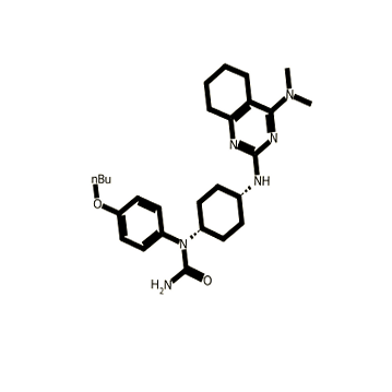 CCCCOc1ccc(N(C(N)=O)[C@H]2CC[C@@H](Nc3nc4c(c(N(C)C)n3)CCCC4)CC2)cc1